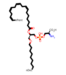 CCCCC/C=C\C/C=C\C/C=C\C/C=C\CCCCCC(=O)O[C@H](COCCCCCCCCCCCCCCCCCC)COP(=O)(O)OC[C@H](N)C(=O)O